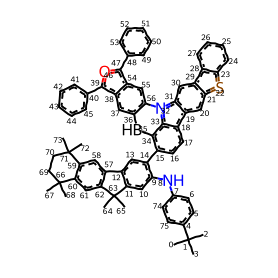 CC(C)(C)c1ccc(Nc2cc3c(cc2-c2ccc4c5cc6sc7ccccc7c6cc5n5c4c2Bc2cc4c(-c6ccccc6)oc(-c6ccccc6)c4cc2-5)-c2cc4c(cc2C3(C)C)C(C)(C)CCC4(C)C)cc1